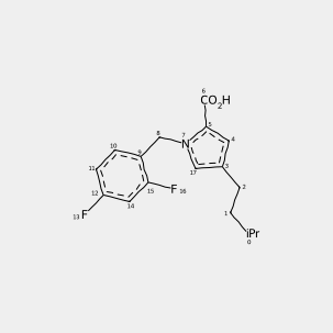 CC(C)CCc1cc(C(=O)O)n(Cc2ccc(F)cc2F)c1